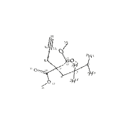 [2H]C([2H])C([2H])([2H])CC(CC#C)(C(=O)OC)C(=O)OC